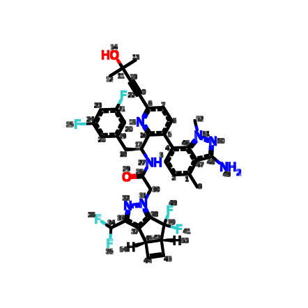 Cc1ccc(-c2ccc(C#CC(C)(C)O)nc2[C@H](Cc2cc(F)cc(F)c2)NC(=O)Cn2nc(C(F)F)c3c2C(F)(F)[C@@H]2C=C[C@H]32)c2c1c(N)nn2C